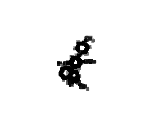 COc1cc([C@]23CCCC[C@@H]2[C@@H]2C(C3)N2C)c(C)cc1N1CCN(C)CC1